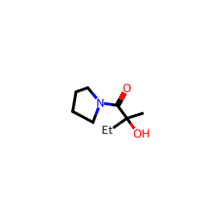 CCC(C)(O)C(=O)N1CCCC1